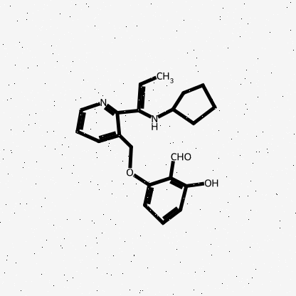 C/C=C(\NC1CCCC1)c1ncccc1COc1cccc(O)c1C=O